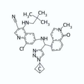 Cn1ccc2c(C(Nc3cc(Cl)c4ncc(C#N)c(NCC(C)(C)C)c4c3)c3cn(C45CC(C4)C5)nn3)cccc2c1=O